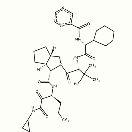 CCC[C@H](NC(=O)[C@@H]1[C@H]2CCC[C@@H]2CN1C(=O)[C@H](NC(=O)[C@H](NC(=O)c1cnccn1)C1CCCCC1)C(C)(C)C)C(=O)C(=O)NC1CC1